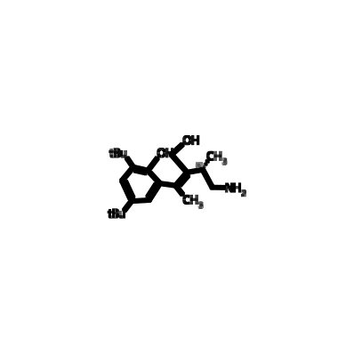 CC(=C(CO)[C@H](C)CN)c1cc(C(C)(C)C)cc(C(C)(C)C)c1O